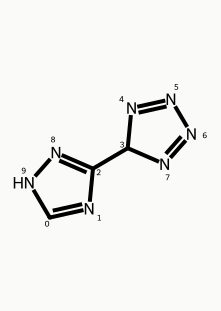 c1nc(C2N=NN=N2)n[nH]1